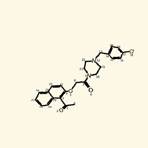 CC(=O)c1c(OCC(=O)N2CCN(Cc3ccc(Cl)cc3)CC2)ccc2ccccc12